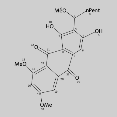 CCCCCC(OC)c1c(O)cc2c(c1O)C(=O)c1c(OC)cc(OC)cc1C2=O